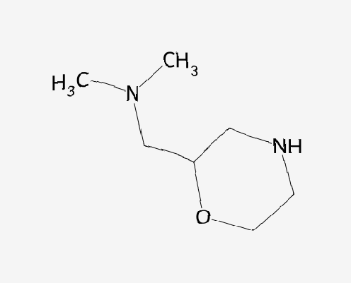 CN(C)CC1CNCCO1